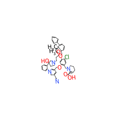 CC1(C)C(c2ccccc2)=CC=CC1(COc1cc(OCc2cncc(C#N)c2)c(CN2CCCC[C@H]2C(=O)O)cc1Cl)OCCCN1CCC(O)(c2ccccc2)C1